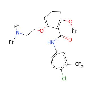 CCOC1=C(C(=O)Nc2ccc(Cl)c(C(F)(F)F)c2)C(OCCN(CC)CC)=CCC1